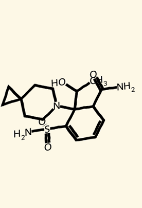 CC(O)C1(N2CCC3(CC2)CC3)C(S(N)(=O)=O)=CC=CC1C(N)=O